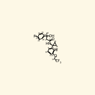 C[C@@](O)(CC(=O)NC1(c2cccc(OCC(F)(F)F)c2F)CC1)c1ccc(F)cc1